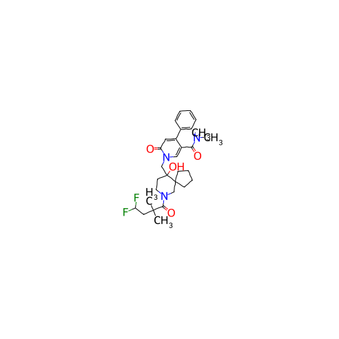 CN(C)C(=O)c1cn(CC2(O)CCN(C(=O)C(C)(C)CC(F)F)CC23CCCC3)c(=O)cc1-c1ccccc1